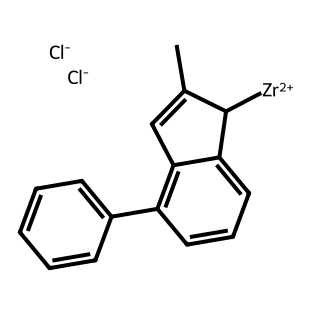 CC1=Cc2c(-c3ccccc3)cccc2[CH]1[Zr+2].[Cl-].[Cl-]